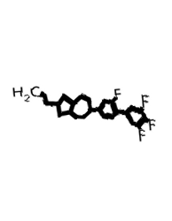 C=CCC1CC2CCC(c3ccc(-c4cc(F)c(F)c(F)c4)c(F)c3)CCC2C1